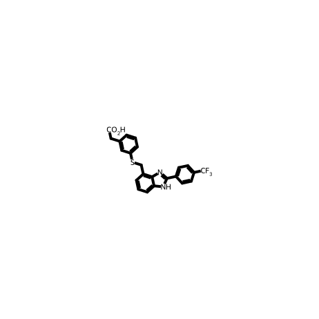 O=C(O)Cc1cccc(SCc2cccc3[nH]c(-c4ccc(C(F)(F)F)cc4)nc23)c1